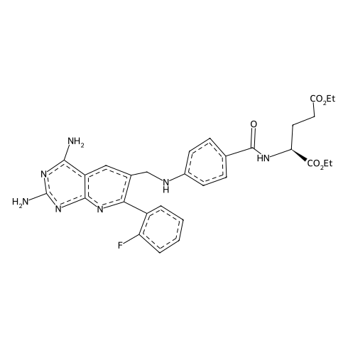 CCOC(=O)CC[C@H](NC(=O)c1ccc(NCc2cc3c(N)nc(N)nc3nc2-c2ccccc2F)cc1)C(=O)OCC